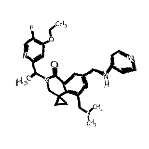 CCOc1cc(C(C)N2CC3(CC3)c3c(CN(C)C)cc(CNc4ccncc4)cc3C2=O)ncc1F